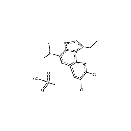 CCc1nnc2c(N(C)C)nc3cc(Cl)c(Cl)cc3n12.CS(=O)(=O)O